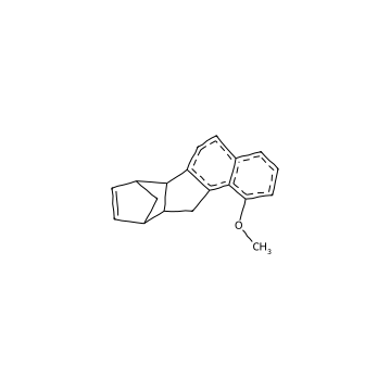 COc1cccc2ccc3c(c12)CC1C2C=CC(C2)C31